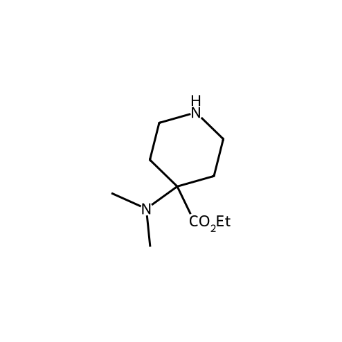 CCOC(=O)C1(N(C)C)CCNCC1